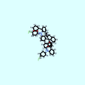 Fc1ccc(N(c2ccc3c(c2)C2(c4ccccc4-c4ccccc42)c2cccc4c(N(c5ccc(F)cc5)c5ccccc5-c5ccccc5)ccc-3c24)c2ccccc2-c2ccccc2)cc1